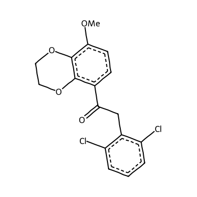 COc1ccc(C(=O)Cc2c(Cl)cccc2Cl)c2c1OCCO2